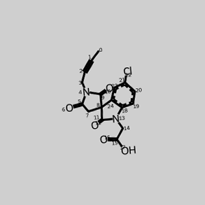 CC#CCN1C(=O)CC2(C1=O)C(=O)N(CC(=O)O)c1ccc(Cl)cc12